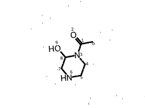 CC(=O)N1CCNCC1O